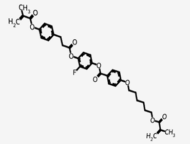 C=C(C)C(=O)OCCCCCCOc1ccc(C(=O)Oc2ccc(OC(=O)CCc3ccc(OC(=O)C(=C)C)cc3)c(F)c2)cc1